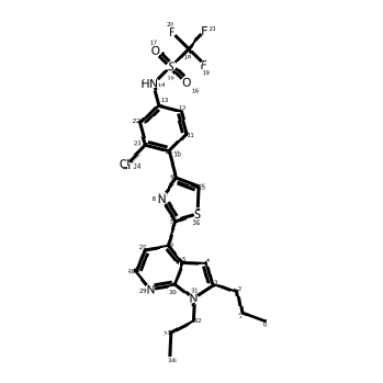 CCCc1cc2c(-c3nc(-c4ccc(NS(=O)(=O)C(F)(F)F)cc4Cl)cs3)ccnc2n1CCC